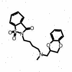 CN(CCCCN1C(=O)c2ccccc2S1(=O)=O)CC1COc2ccccc2O1